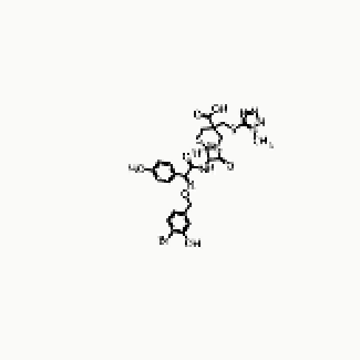 Cn1nnnc1SCC1(C(=O)O)CS[C@@H]2C(NC(=O)C(=NOCc3ccc(Br)c(O)c3)c3ccc(O)cc3)C(=O)N2C1